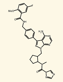 COc1ccc(F)cc1C(=O)NCc1ccc(-c2nn(CC3CCCC3N(C)C(=O)n3cncn3)c3ncnc(N)c23)cc1